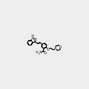 NC(=O)c1cc(C=Cc2n[nH]c3ccccc23)ccc1OCCN1CCOCC1